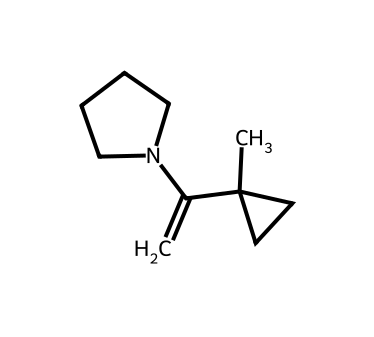 C=C(N1CCCC1)C1(C)CC1